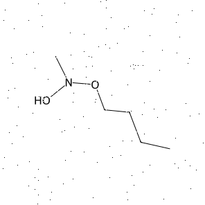 CCCCON(C)O